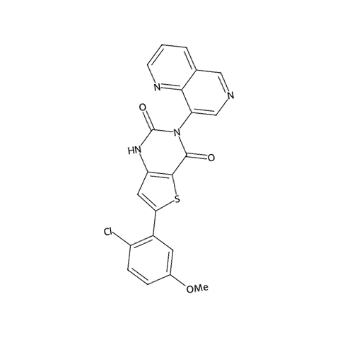 COc1ccc(Cl)c(-c2cc3[nH]c(=O)n(-c4cncc5cccnc45)c(=O)c3s2)c1